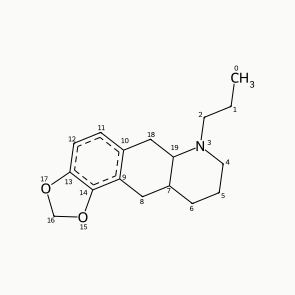 CCCN1CCCC2Cc3c(ccc4c3OCO4)CC21